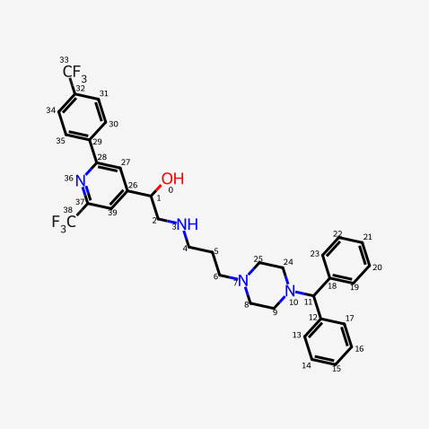 OC(CNCCCN1CCN(C(c2ccccc2)c2ccccc2)CC1)c1cc(-c2ccc(C(F)(F)F)cc2)nc(C(F)(F)F)c1